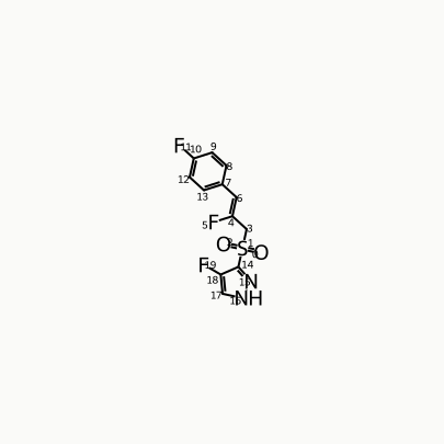 O=S(=O)(CC(F)=Cc1ccc(F)cc1)c1n[nH]cc1F